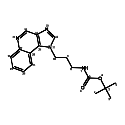 CC(C)(C)OC(=O)NCCCn1cnc2cnc3ccccc3c21